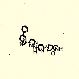 O=C1NCCC12CCN(c1ccc(Nc3nccc(-c4cnc5ccc(-c6ccccc6)cn45)n3)cn1)CC2